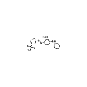 O=S(=O)(O)c1cccc(N=Nc2ccc(Nc3ccccc3)cc2)c1.[NaH]